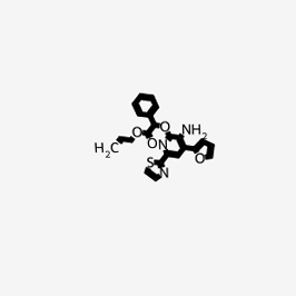 C=CCOC(=O)C(Oc1nc(-c2nccs2)cc(-c2ccco2)c1N)c1ccccc1